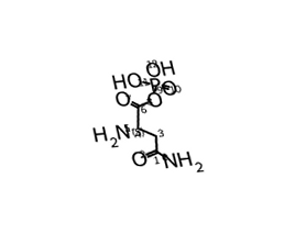 NC(=O)C[C@H](N)C(=O)OP(=O)(O)O